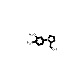 COc1cc(N2CCCC2CO)ccc1N